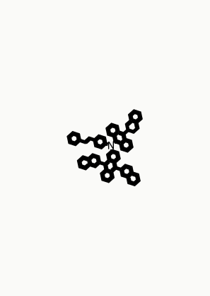 C1=c2ccccc2=CC(c2c3ccccc3c(N(c3ccc(/C=C/c4ccccc4)cc3)c3ccc4c(-c5ccc6ccccc6c5)c5ccccc5c(-c5ccc6ccccc6c5)c4c3)c3ccccc23)C1